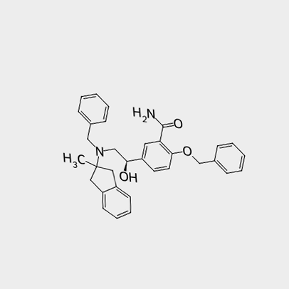 CC1(N(Cc2ccccc2)C[C@H](O)c2ccc(OCc3ccccc3)c(C(N)=O)c2)Cc2ccccc2C1